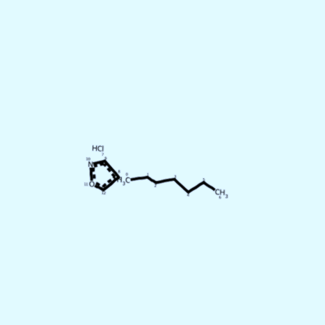 CCCCCCC.Cl.c1cnoc1